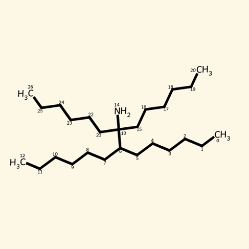 CCCCCCC(CCCCCC)C(N)(CCCCCC)CCCCCC